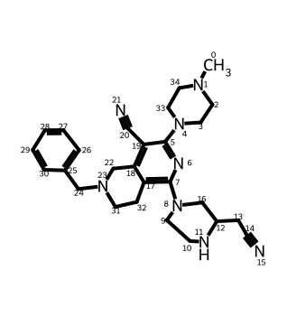 CN1CCN(c2nc(N3CCNC(CC#N)C3)c3c(c2C#N)CN(Cc2ccccc2)CC3)CC1